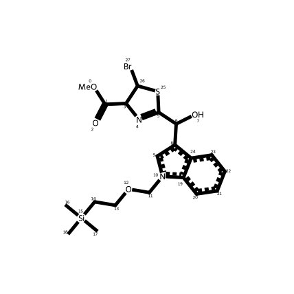 COC(=O)C1N=C(C(O)c2cn(COCC[Si](C)(C)C)c3ccccc23)SC1Br